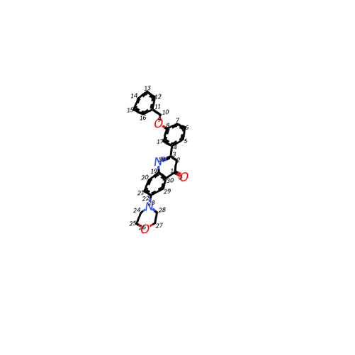 O=C1CC(c2cccc(OCc3ccccc3)c2)=Nc2ccc(N3CCOCC3)cc21